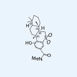 CNC(=O)c1cc(O)c2c(c1)S(=O)(=O)C[C@@H]1[C@@]3(C)CCCC(C)(C)[C@@H]3CC[C@@]21C